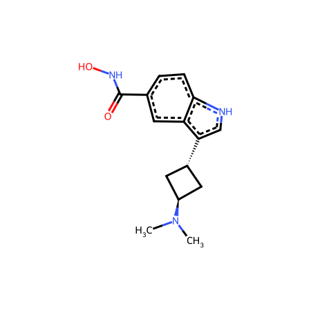 CN(C)[C@H]1C[C@H](c2c[nH]c3ccc(C(=O)NO)cc32)C1